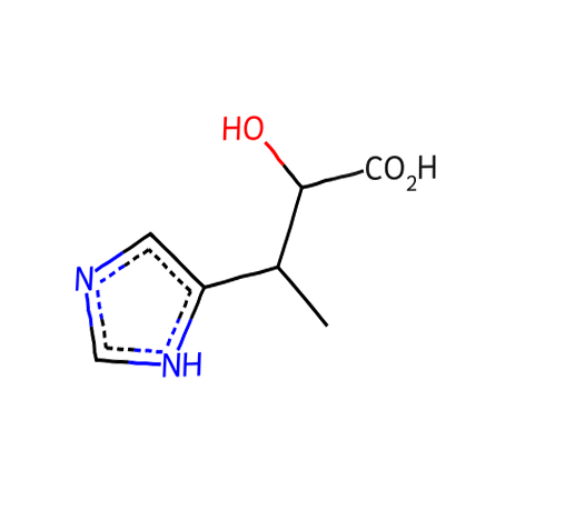 CC(c1cnc[nH]1)C(O)C(=O)O